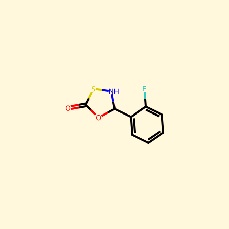 O=C1OC(c2ccccc2F)NS1